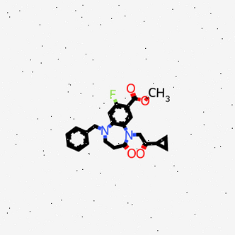 COC(=O)c1cc2c(cc1F)N(Cc1ccccc1)CCC(=O)N2CC(=O)C1CC1